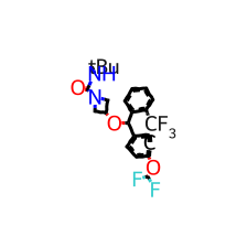 CC(C)(C)NC(=O)N1CC(OC(c2ccc(OC(F)F)cc2)c2ccccc2C(F)(F)F)C1